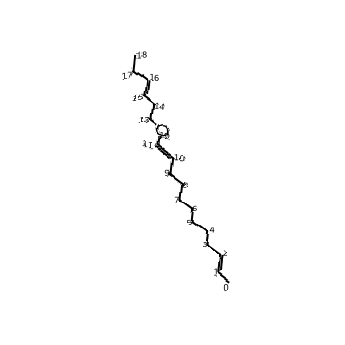 CC=CCCCCCCCC=COCCC=CCC